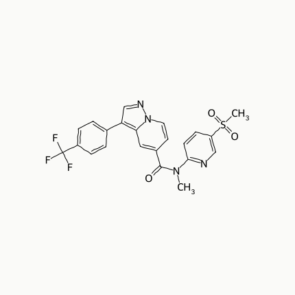 CN(C(=O)c1ccn2ncc(-c3ccc(C(F)(F)F)cc3)c2c1)c1ccc(S(C)(=O)=O)cn1